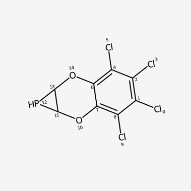 Clc1c(Cl)c(Cl)c2c(c1Cl)OC1PC1O2